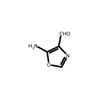 Nc1ocnc1C=O